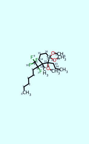 CCCCCCC(F)(C(F)(F)F)C1(C)CCC[Si](OC)(OC)C1(CCC)OC